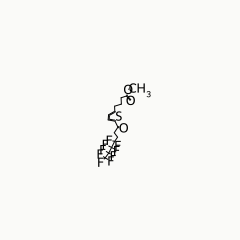 COC(=O)CCCc1ccc(C(=O)CCC(F)(F)C(F)(F)C(F)(F)C(F)(F)F)s1